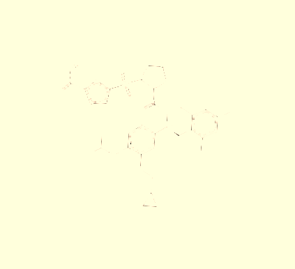 COC(=O)c1ccc(S(=O)(=O)N2CCSC2C(=O)O[C@@H](Cc2c(Cl)c[n+]([O-])cc2Cl)c2ccc(OC(F)F)c(OCC3CC3)c2)s1